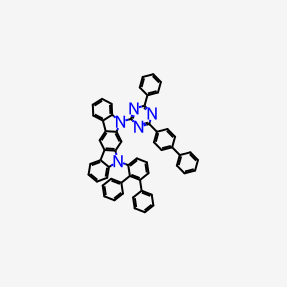 c1ccc(-c2ccc(-c3nc(-c4ccccc4)nc(-n4c5ccccc5c5cc6c7ccccc7n(-c7cccc(-c8ccccc8)c7-c7ccccc7)c6cc54)n3)cc2)cc1